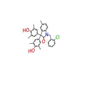 Cc1ccc2c(c1)C(c1cc(C)c(O)c(C)c1)(c1cc(C)c(O)c(C)c1)C(=O)N2Cc1ccccc1Cl